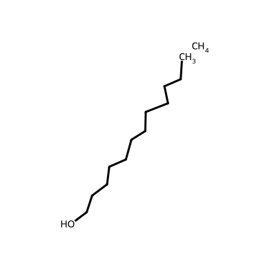 C.CCCCCCCCCCCCO